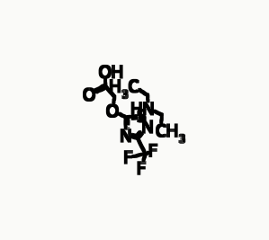 CCNCC.O=C(O)COc1nc(C(F)(F)F)ns1